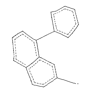 [CH2]c1ccc2cccc(-c3ccccc3)c2c1